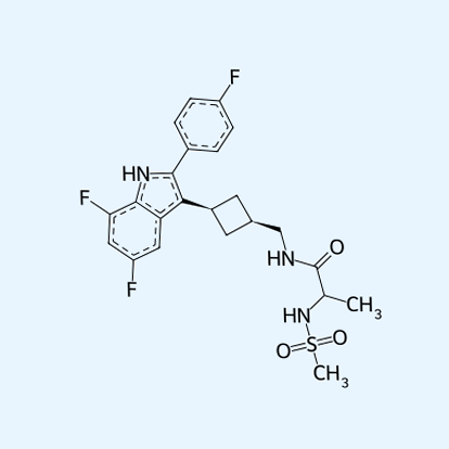 CC(NS(C)(=O)=O)C(=O)NC[C@H]1C[C@@H](c2c(-c3ccc(F)cc3)[nH]c3c(F)cc(F)cc32)C1